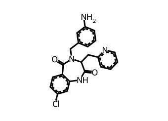 Nc1cccc(CN2C(=O)c3ccc(Cl)cc3NC(=O)C2Cc2ccccn2)c1